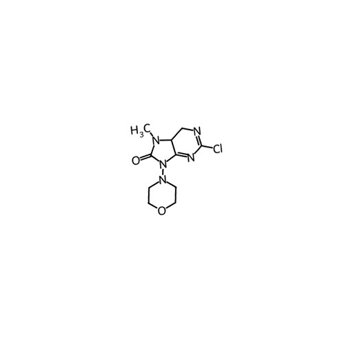 CN1C(=O)N(N2CCOCC2)C2=NC(Cl)=NCC21